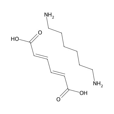 NCCCCCCN.O=C(O)C=CC=CC(=O)O